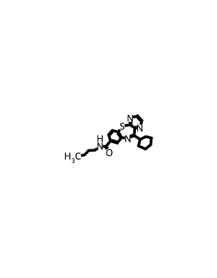 CCCCNC(=O)c1ccc2c(c1)N=C(C1CCCCC1)c1nccnc1S2